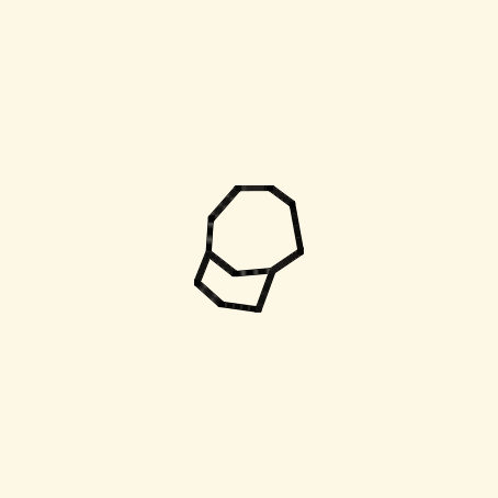 C1CCC2CCCC(CC1)C2